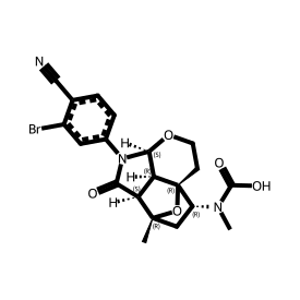 CN(C(=O)O)[C@@H]1C[C@@]2(C)O[C@@]13CCO[C@H]1[C@@H]3[C@@H]2C(=O)N1c1ccc(C#N)c(Br)c1